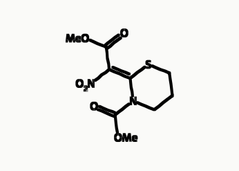 COC(=O)/C(=C1\SCCCN1C(=O)OC)[N+](=O)[O-]